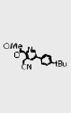 COC(=O)c1ncc(-c2ccc(C(C)(C)C)cc2)cc1CC#N